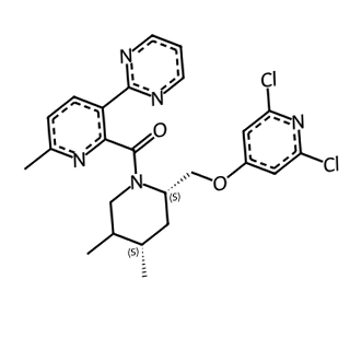 Cc1ccc(-c2ncccn2)c(C(=O)N2CC(C)[C@@H](C)C[C@H]2COc2cc(Cl)nc(Cl)c2)n1